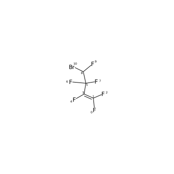 FC(F)=C(F)C(F)(F)C(F)Br